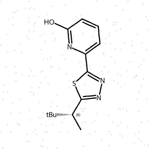 C[C@@H](c1nnc(-c2cccc(O)n2)s1)C(C)(C)C